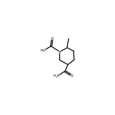 CC1CCC(C(N)=O)CN1C(=O)O